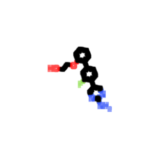 Nc1ncc(-c2ccc(-c3ccccc3OCCO)cc2F)cn1